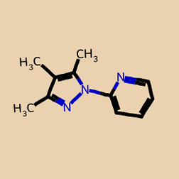 Cc1nn(-c2ccccn2)c(C)c1C